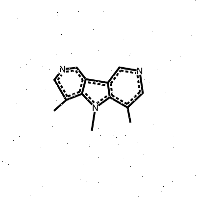 Cc1cncc2c3cncc(C)c3n(C)c12